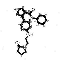 O=C1CCCN1CCNc1ncc2c3n[nH]cc3c(=O)n(-c3ccccc3)c2n1